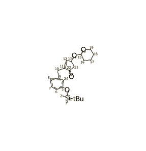 CC(C)(C)[Si](C)(C)Oc1cccc(CC2=CC(OC3CCCCO3)CC2=O)c1